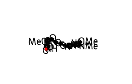 CNc1cc2cn(C3CCN(CCOCCOCCNC(=O)c4ccc(OC)c(N5CCC(=O)NC5=O)c4)CC3)nc2cc1OC